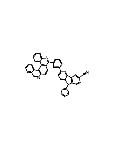 N#Cc1ccc2c(c1)-c1cc(-c3cccc(-c4nc5ccccc5c5c4ccc4ncc6ccccc6c45)c3)ccc1C2c1ccccc1